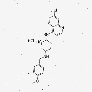 COc1ccc(CNC2CCC(Nc3ccnc4cc(Cl)ccc34)CC2)cc1.Cl.Cl